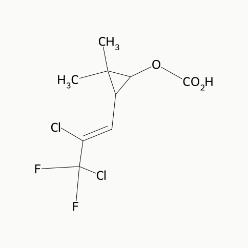 CC1(C)C(C=C(Cl)C(F)(F)Cl)C1OC(=O)O